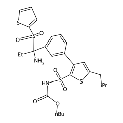 CCCCOC(=O)NS(=O)(=O)c1sc(CC(C)C)cc1-c1cccc(C(N)(CC)S(=O)(=O)c2cccs2)c1